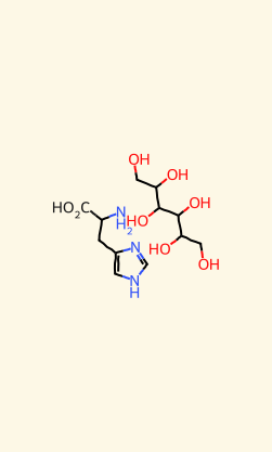 NC(Cc1c[nH]cn1)C(=O)O.OCC(O)C(O)C(O)C(O)CO